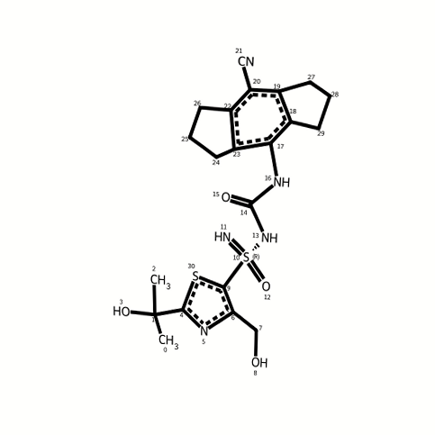 CC(C)(O)c1nc(CO)c([S@@](=N)(=O)NC(=O)Nc2c3c(c(C#N)c4c2CCC4)CCC3)s1